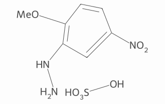 COc1ccc([N+](=O)[O-])cc1NN.O=S(=O)(O)O